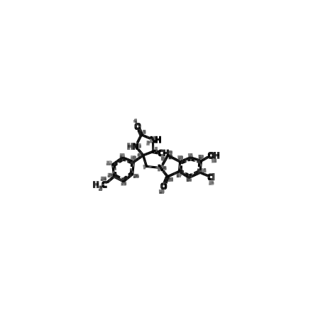 C=C1NC(=O)NC1(CN1Cc2cc(O)c(Cl)cc2C1=O)c1ccc(C)cc1